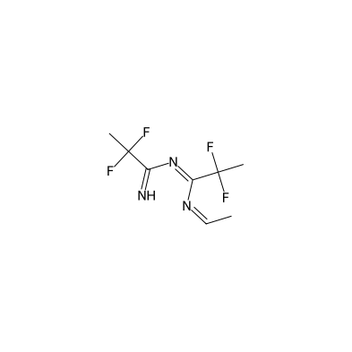 C/C=N\C(=N/C(=N)C(C)(F)F)C(C)(F)F